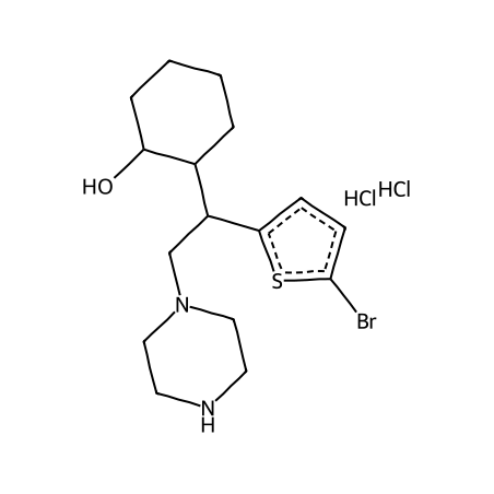 Cl.Cl.OC1CCCCC1C(CN1CCNCC1)c1ccc(Br)s1